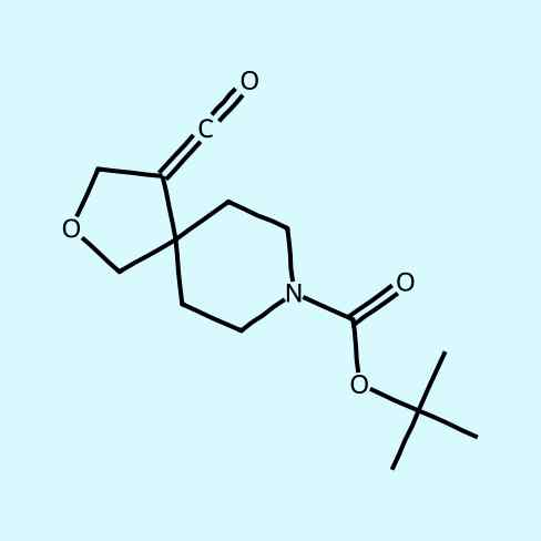 CC(C)(C)OC(=O)N1CCC2(CC1)COCC2=C=O